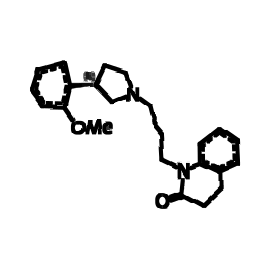 COc1ccccc1[C@H]1CCN(CCCCN2C(=O)CCc3ccccc32)C1